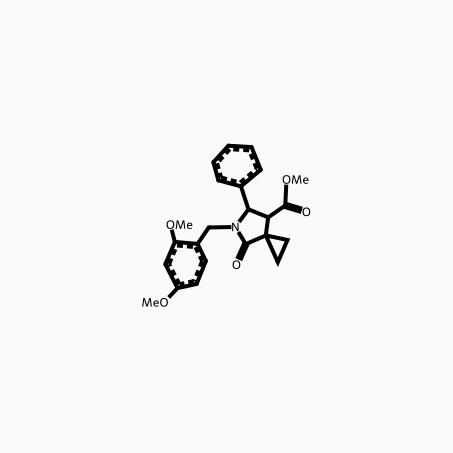 COC(=O)C1C(c2ccccc2)N(Cc2ccc(OC)cc2OC)C(=O)C12CC2